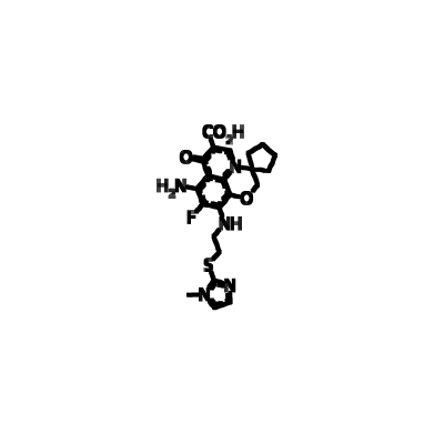 Cn1ccnc1SCCNc1c(F)c(N)c2c(=O)c(C(=O)O)cn3c2c1OCC31CCCC1